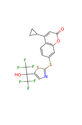 O=c1cc(C2CC2)c2ccc(Sc3ncc(C(O)(C(F)(F)F)C(F)(F)F)s3)cc2o1